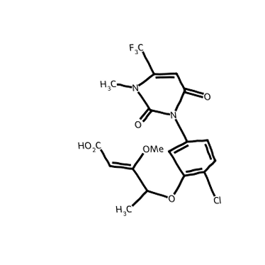 CO/C(=C\C(=O)O)C(C)Oc1cc(-n2c(=O)cc(C(F)(F)F)n(C)c2=O)ccc1Cl